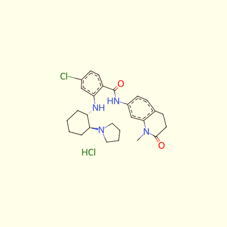 CN1C(=O)CCc2ccc(NC(=O)c3ccc(Cl)cc3N[C@H]3CCCC[C@@H]3N3CCCC3)cc21.Cl